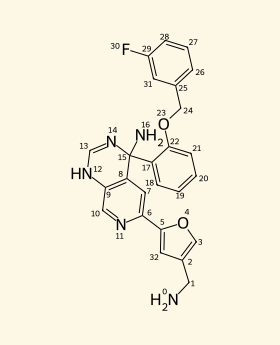 NCc1coc(-c2cc3c(cn2)NC=NC3(N)c2ccccc2OCc2cccc(F)c2)c1